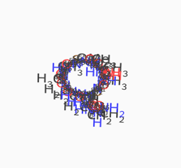 C=C(NC(=O)C(=C)NC(=O)C(=C)NC(=O)c1ccc2c(n1)-c1nc(oc1C)C(=C)NC(=O)C(=C)NC(=O)c1nc(oc1C)/C(=C/C)NC(=O)c1csc(n1)C(OC)NC(=O)c1nc(oc1C)/C(=C/C(C)O)NC(=O)C(C(C)O)NC(=O)c1csc-2n1)C(N)=O